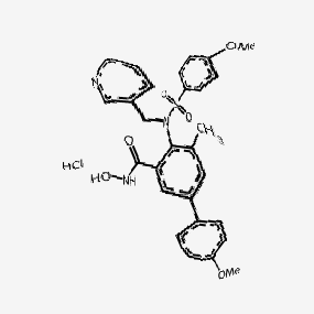 COc1ccc(-c2cc(C)c(N(Cc3cccnc3)S(=O)(=O)c3ccc(OC)cc3)c(C(=O)NO)c2)cc1.Cl